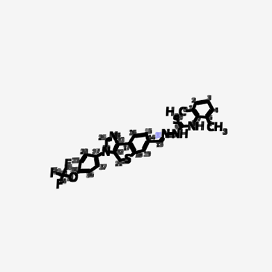 Cc1cccc(C)c1NC(=S)N/N=C/c1ccc2c(c1)SCc1c-2ncn1-c1ccc(OC(F)(F)F)cc1